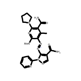 CNc1nc(N2CCCC2)c(C(N)=O)c(C)c1/N=N/c1c(C(N)=O)cnn1-c1ccccn1